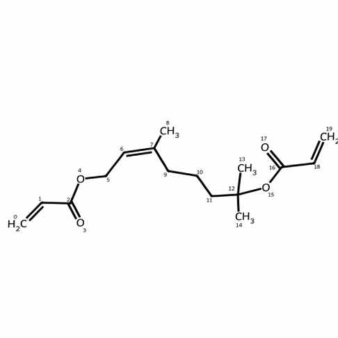 C=CC(=O)OCC=C(C)CCCC(C)(C)OC(=O)C=C